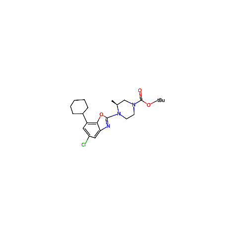 C[C@H]1CN(C(=O)OC(C)(C)C)CCN1c1nc2cc(Cl)cc(C3CCCCC3)c2o1